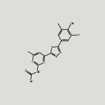 CCc1cc(-c2nnc(-c3cc(C)nc(NC(=O)C(C)C)n3)s2)cc(C)c1O